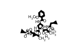 C=CC1CC1(NC(=O)[C@@H]1C[C@@H](NC(=O)c2ccccc2OC)CN1C(=O)[C@@H](NC(=O)CC1CC1)C(C)(C)C)C(=O)NS(=O)(=O)C1CC1